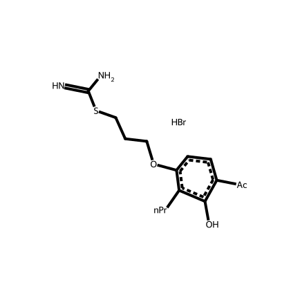 Br.CCCc1c(OCCCSC(=N)N)ccc(C(C)=O)c1O